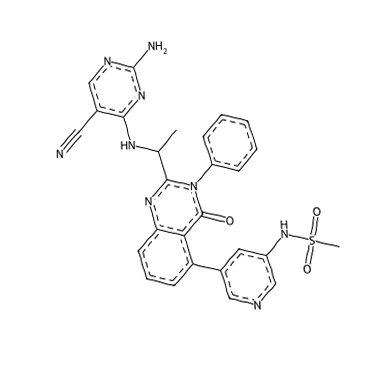 CC(Nc1nc(N)ncc1C#N)c1nc2cccc(-c3cncc(NS(C)(=O)=O)c3)c2c(=O)n1-c1ccccc1